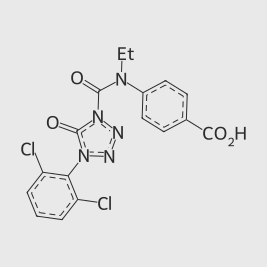 CCN(C(=O)n1nnn(-c2c(Cl)cccc2Cl)c1=O)c1ccc(C(=O)O)cc1